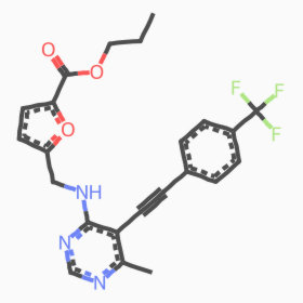 CCCOC(=O)c1ccc(CNc2ncnc(C)c2C#Cc2ccc(C(F)(F)F)cc2)o1